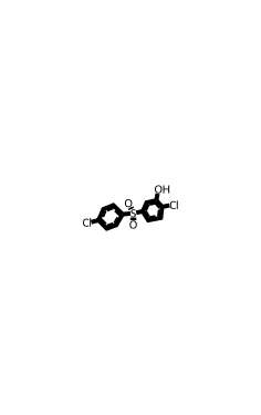 O=S(=O)(c1ccc(Cl)cc1)c1ccc(Cl)c(O)c1